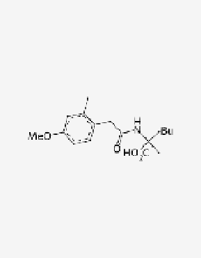 CCC(C)C(C)(NC(=O)Cc1ccc(OC)cc1C)C(=O)O